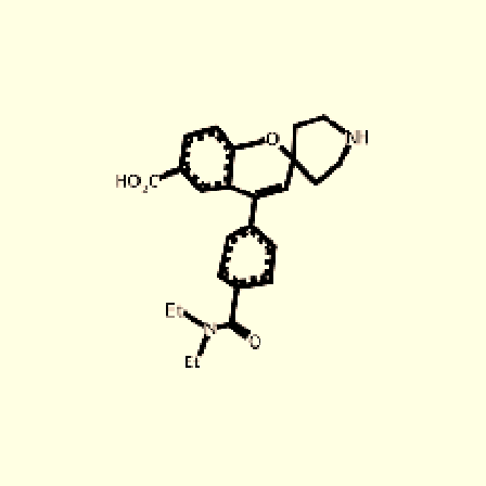 CCN(CC)C(=O)c1ccc(C2=CC3(CCNCC3)Oc3ccc(C(=O)O)cc32)cc1